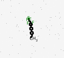 CCCC1CCC(C2CCC(c3cc(F)c(/C=C/C(F)(F)F)c(F)c3)CC2)CC1